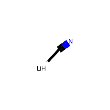 [CH2]C#N.[LiH]